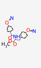 COC(=O)C(Cc1ccc(OC#N)cc1)NC(=O)c1ccc(OC#N)cc1